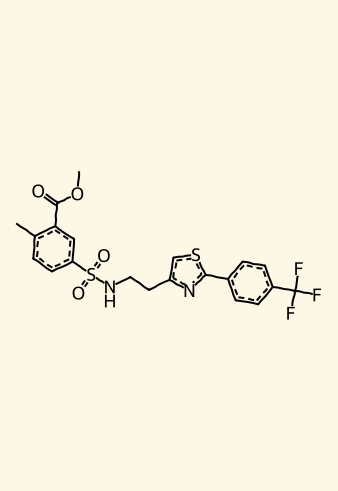 COC(=O)c1cc(S(=O)(=O)NCCc2csc(-c3ccc(C(F)(F)F)cc3)n2)ccc1C